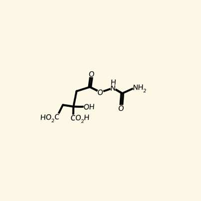 NC(=O)NOC(=O)CC(O)(CC(=O)O)C(=O)O